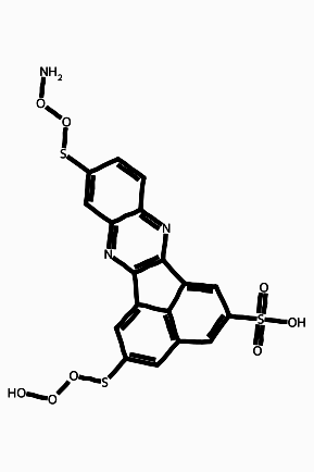 NOOSc1ccc2nc3c(nc2c1)-c1cc(SOOO)cc2cc(S(=O)(=O)O)cc-3c12